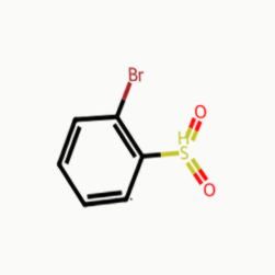 O=[SH](=O)c1[c]cccc1Br